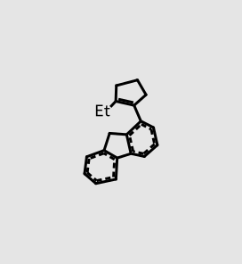 CCC1=C(c2cccc3c2Cc2ccccc2-3)CCC1